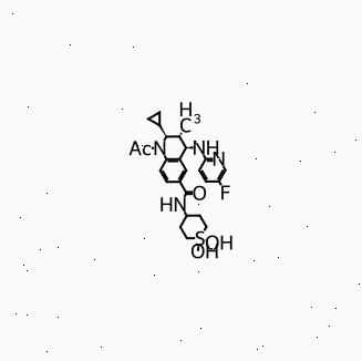 CC(=O)N1c2ccc(C(=O)NC3CCS(O)(O)CC3)cc2[C@H](Nc2ccc(F)cn2)[C@@H](C)[C@@H]1C1CC1